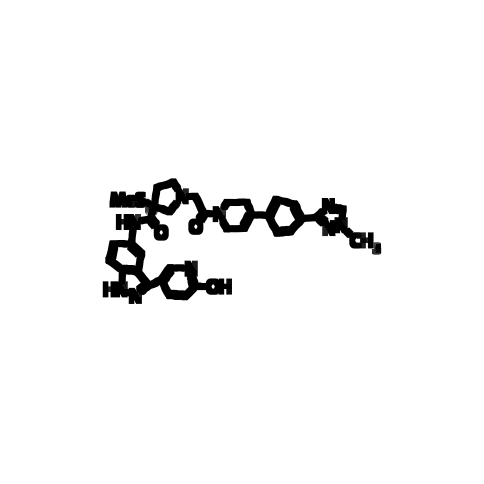 CS[C@@]1(C(=O)Nc2ccc3[nH]nc(-c4ccc(O)nc4)c3c2)CCN(CC(=O)N2CC=C(c3ccc(-c4ncn(C)n4)cc3)CC2)C1